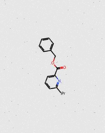 CC(C)c1cccc(C(=O)OCc2ccccc2)n1